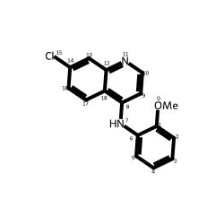 COc1ccccc1Nc1ccnc2cc(Cl)ccc12